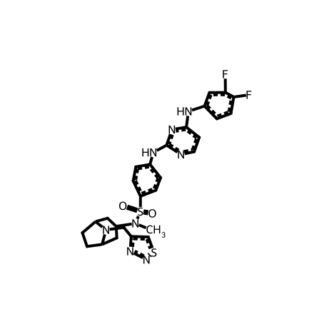 CN(C1CC2CCC(C1)N2Cc1csnn1)S(=O)(=O)c1ccc(Nc2nccc(Nc3ccc(F)c(F)c3)n2)cc1